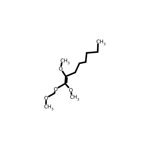 CCCCCC/C(OC)=C(\OC)OCOC